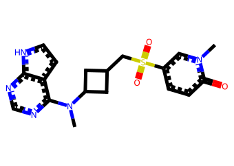 CN(c1ncnc2[nH]ccc12)C1CC(CS(=O)(=O)c2ccc(=O)n(C)c2)C1